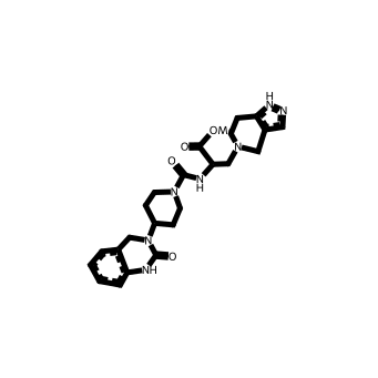 COC(=O)C(CN1CCc2[nH]ncc2C1)NC(=O)N1CCC(N2Cc3ccccc3NC2=O)CC1